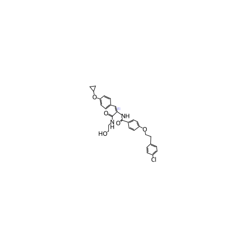 O=C(NCCO)/C(=C\c1ccc(OC2CC2)cc1)NC(=O)c1ccc(OCCc2ccc(Cl)cc2)cc1